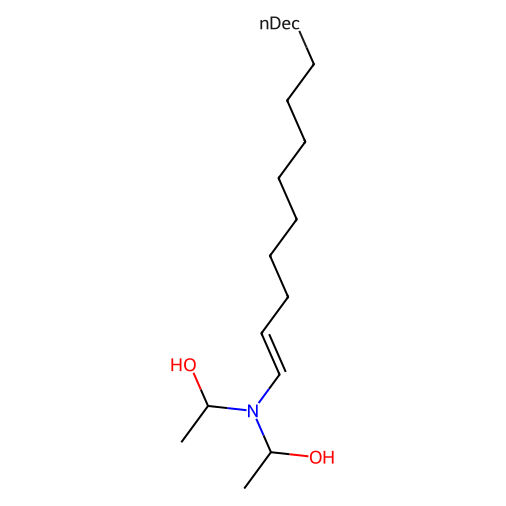 CCCCCCCCCCCCCCCCCC=CN(C(C)O)C(C)O